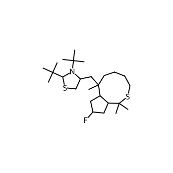 CC(C)(C)C1SCC(CC2(C)CCCCSC(C)(C)C3CC(F)CC32)N1C(C)(C)C